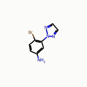 Nc1ccc(Br)c(-n2nccn2)c1